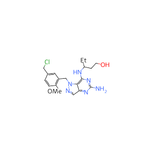 CCC(CCO)Nc1nc(N)nc2cnn(Cc3cc(CCl)ccc3OC)c12